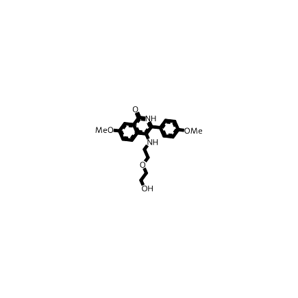 COc1ccc(-c2[nH]c(=O)c3cc(OC)ccc3c2NCCOCCO)cc1